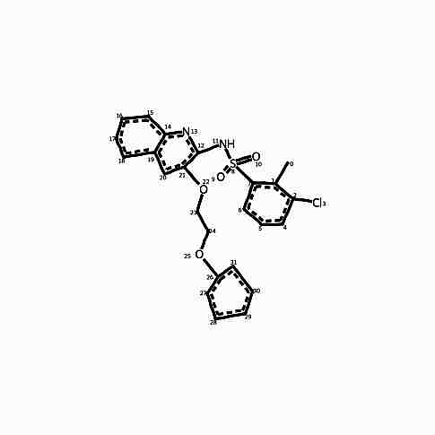 Cc1c(Cl)cccc1S(=O)(=O)Nc1nc2ccccc2cc1OCCOc1ccccc1